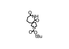 CC(C)(C)OC(=O)N1CCC2(CCCC(=O)NC2=O)C1